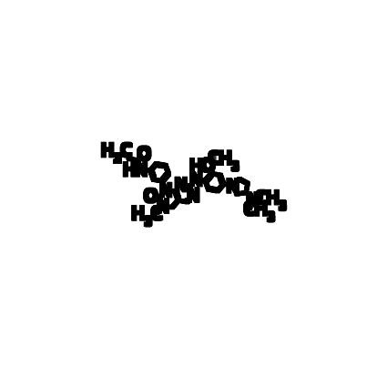 C=CC(=O)Nc1cccc(N2C(=O)N(C)Cc3cnc(Nc4ccc(N5CC[C@H](N(C)C)C5)cc4OC)nc32)c1